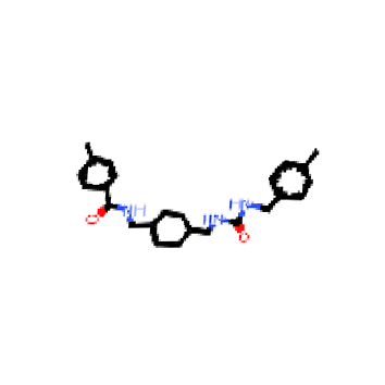 Cc1ccc(CNC(=O)NCC2CCC(CNC(=O)c3ccc(C)cc3)CC2)cc1